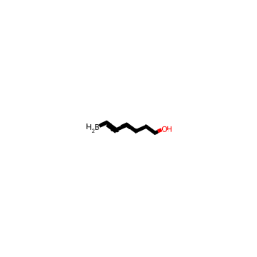 BC=CCCCCO